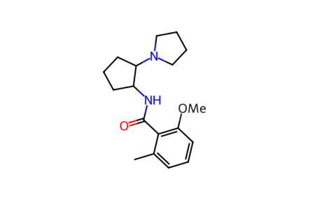 COc1cccc(C)c1C(=O)NC1CCCC1N1CCCC1